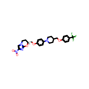 O=[N+]([O-])c1cn2c(n1)O[C@@H](COc1ccc(N3CCC(COc4ccc(C(F)(F)F)cc4)CC3)cc1)CC2